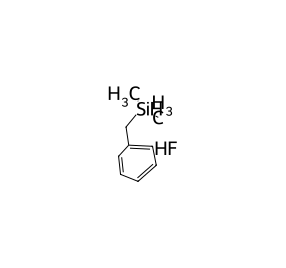 C[SiH](C)Cc1ccccc1.F